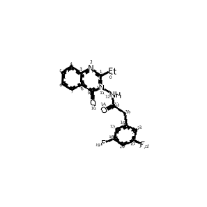 CCc1nc2ccccc2c(=O)n1NC(=O)Cc1cc(F)cc(F)c1